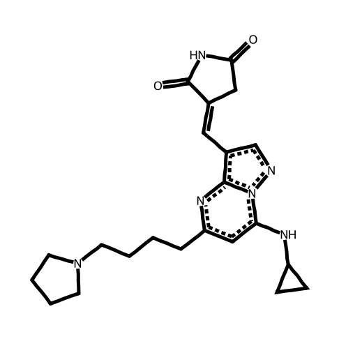 O=C1C/C(=C\c2cnn3c(NC4CC4)cc(CCCCN4CCCC4)nc23)C(=O)N1